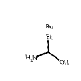 CCC(N)O.[Ru]